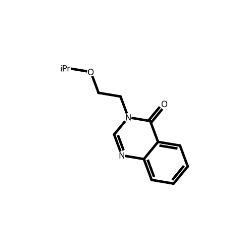 CC(C)OCCn1cnc2ccccc2c1=O